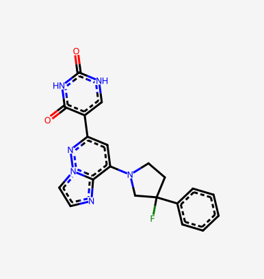 O=c1[nH]cc(-c2cc(N3CCC(F)(c4ccccc4)C3)c3nccn3n2)c(=O)[nH]1